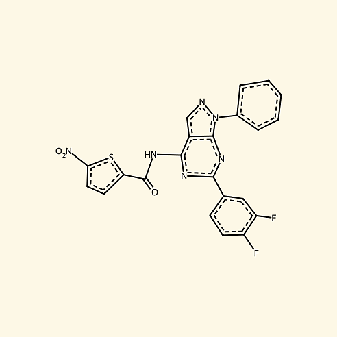 O=C(Nc1nc(-c2ccc(F)c(F)c2)nc2c1cnn2-c1ccccc1)c1ccc([N+](=O)[O-])s1